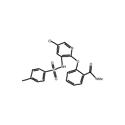 CNC(=O)c1ccccc1Oc1ncc(Cl)cc1NS(=O)(=O)c1ccc(C)cc1